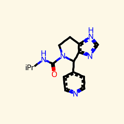 CC(C)NC(=O)N1CCc2[nH]cnc2C1c1ccncc1